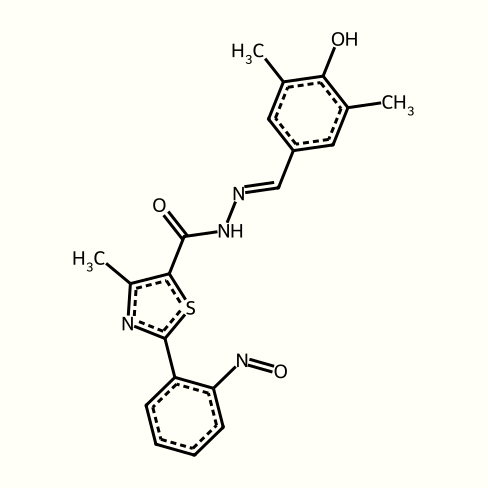 Cc1cc(/C=N/NC(=O)c2sc(-c3ccccc3N=O)nc2C)cc(C)c1O